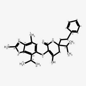 Cc1cc(SC2=C(O)CC(CCc3ccccc3)(C(C)C)OC2=O)c(C(C)C)c2sc(N)nc12